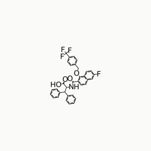 O=C(N[C@H](C(=O)O)C(c1ccccc1)c1ccccc1)c1ccc2cc(F)ccc2c1OCc1ccc(C(F)(F)F)cc1